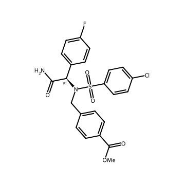 COC(=O)c1ccc(CN([C@@H](C(N)=O)c2ccc(F)cc2)S(=O)(=O)c2ccc(Cl)cc2)cc1